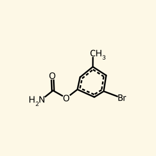 Cc1cc(Br)cc(OC(N)=O)c1